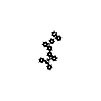 c1ccc(-c2cc(-c3ccccc3)nc(-n3c4ccccc4c4cc(-c5ccc6c(c5)c5ccccc5n6-c5ccc(-n6c7ccccc7c7ncccc76)cc5)ccc43)n2)cc1